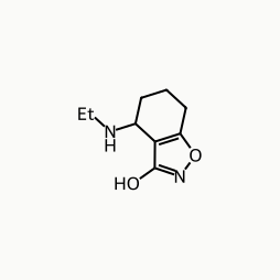 CCNC1CCCc2onc(O)c21